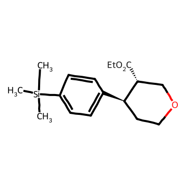 CCOC(=O)[C@@H]1COCC[C@H]1c1ccc([Si](C)(C)C)cc1